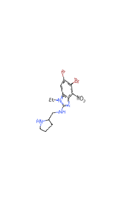 CCn1c(NCC2CCCN2)nc2c([N+](=O)[O-])c(Br)c(Br)cc21